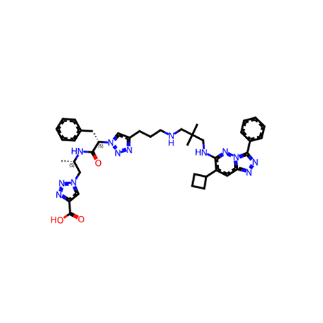 C[C@@H](Cn1cc(C(=O)O)nn1)NC(=O)[C@H](Cc1ccccc1)n1cc(CCCNCC(C)(C)CNc2nn3c(-c4ccccc4)nnc3cc2C2CCC2)nn1